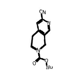 CC(C)(C)OC(=O)N1CCc2cc(C#N)ncc2C1